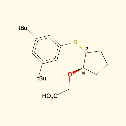 CC(C)(C)c1cc(S[C@@H]2CCC[C@H]2OCC(=O)O)cc(C(C)(C)C)c1